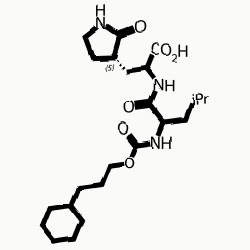 CC(C)CC(NC(=O)OCCCC1CCCCC1)C(=O)NC(C[C@@H]1CCNC1=O)C(=O)O